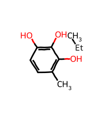 CCC.Cc1ccc(O)c(O)c1O